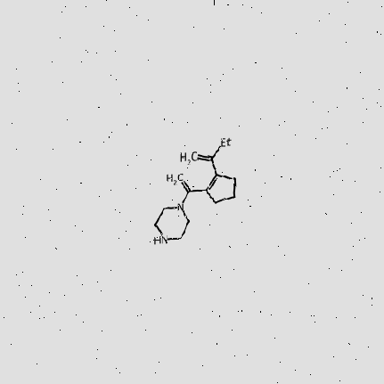 C=C(CC)C1=C(C(=C)N2CCNCC2)CCC1